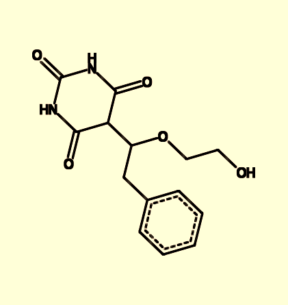 O=C1NC(=O)C(C(Cc2ccccc2)OCCO)C(=O)N1